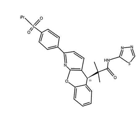 CC(C)S(=O)(=O)c1ccc(-c2ccc3c(n2)Oc2ccccc2[C@@H]3C(C)(C)C(=O)Nc2nncs2)cc1